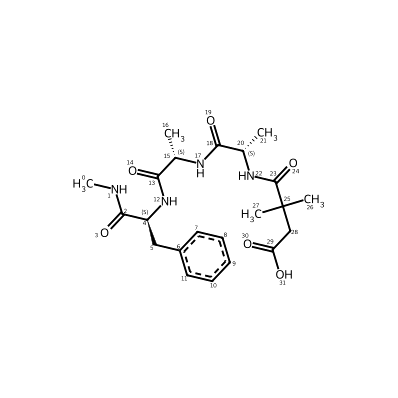 CNC(=O)[C@H](Cc1ccccc1)NC(=O)[C@H](C)NC(=O)[C@H](C)NC(=O)C(C)(C)CC(=O)O